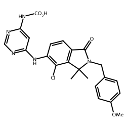 COc1ccc(CN2C(=O)c3ccc(Nc4cc(NC(=O)O)ncn4)c(Cl)c3C2(C)C)cc1